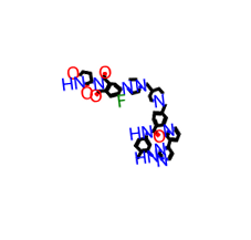 Cc1ccc(NC(=O)c2ccc(CN3CCC(CN4CCN(c5cc6c(cc5F)C(=O)N(C5CCC(=O)NC5=O)C6=O)CC4)CC3)cc2)cc1Nc1nccc(-c2cccnc2)n1